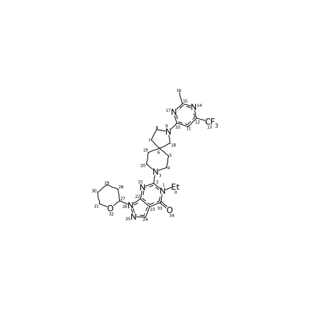 CCn1c(N2CCC3(CCN(c4cc(C(F)(F)F)nc(C)n4)C3)CC2)nc2c(cnn2C2CCCCO2)c1=O